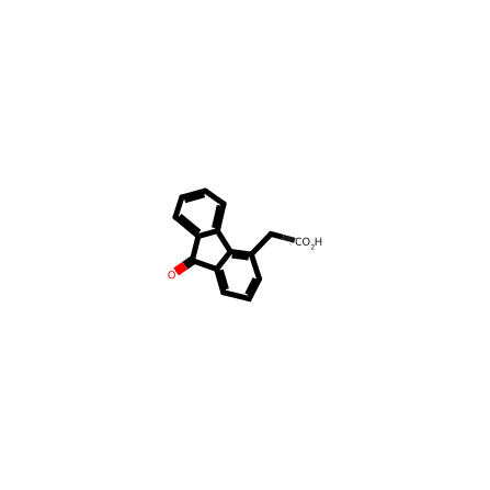 O=C(O)Cc1cccc2c1-c1ccccc1C2=O